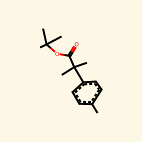 Cc1ccc(C(C)(C)C(=O)OC(C)(C)C)cc1